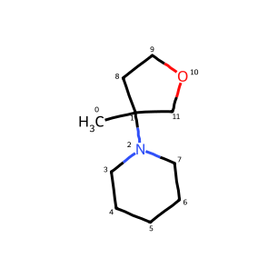 CC1(N2CCCCC2)CCOC1